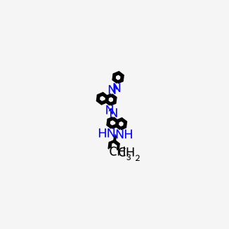 C=C/C=C(\C=C/C)C1Nc2cccc3c(/N=N/c4ccc(/N=N/c5ccccc5)c5ccccc45)ccc(c23)N1